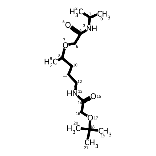 CC(C)NC(=O)COC(C)CCCNC(=O)COC(C)(C)C